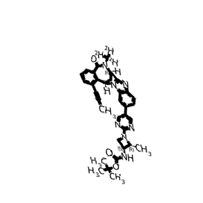 [2H]C([2H])([2H])N1C(=O)c2cccc(C#CC)c2[C@H]2C[C@@H]1c1nc3ccc(-c4cnc(N5C[C@H](NC(=O)OC(C)(C)C)[C@H]5C)nc4)cc3n12